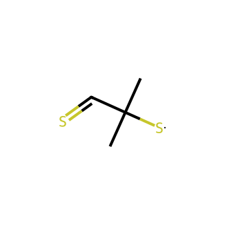 CC(C)([S])C=S